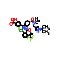 CC(C)n1cc(CN(C)C(=O)[C@H]2CCc3c(-c4ccc(C(=O)O)cc4F)nn(C(=O)c4c(Cl)cccc4C4(C(F)(F)F)CC4)c3C2)cn1